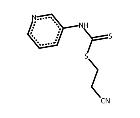 N#CCCSC(=S)Nc1cccnc1